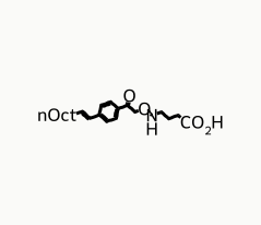 CCCCCCCCC=Cc1ccc(C(=O)CONCCCC(=O)O)cc1